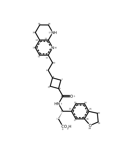 O=C(O)C[C@H](NC(=O)C1CC(CCc2ccc3c(n2)NCCC3)C1)c1ccc2c(c1)OCC2